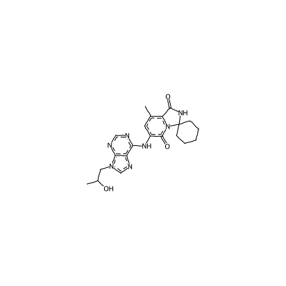 Cc1cc(Nc2ncnc3c2ncn3CC(C)O)c(=O)n2c1C(=O)NC21CCCCC1